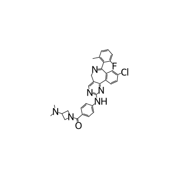 Cc1cccc(F)c1C1=NCc2cnc(Nc3ccc(C(=O)N4CC(N(C)C)C4)cc3)nc2-c2ccc(Cl)cc21